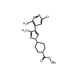 Cc1nn(C2CCN(C(=O)OC(C)(C)C)CC2)cc1-c1cc(Cl)nnc1N